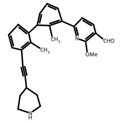 COc1nc(-c2cccc(-c3cccc(C#CC4CCNCC4)c3C)c2C)ccc1C=O